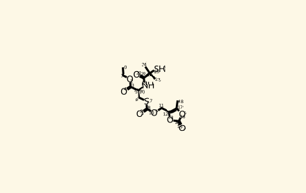 CCOC(=O)[C@H](CSC(=O)OCc1oc(=O)oc1C)NC(=O)C(C)(C)S